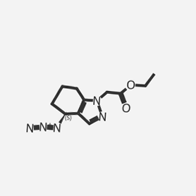 CCOC(=O)Cn1ncc2c1CCC[C@@H]2N=[N+]=[N-]